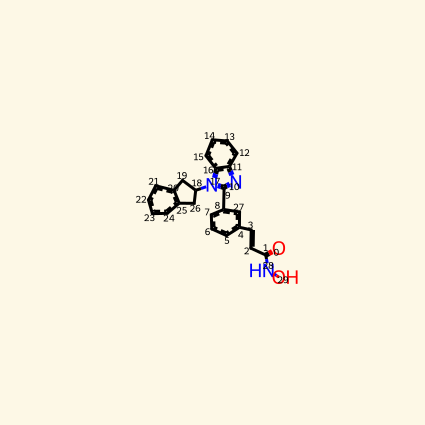 O=C(/C=C/c1cccc(-c2nc3ccccc3n2C2Cc3ccccc3C2)c1)NO